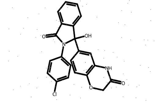 O=C1COc2ccc(C3(O)c4ccccc4C(=O)N3c3ccc(Cl)cc3)cc2N1